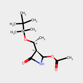 CC(=O)OC1NC(=O)[C@H]1[C@@H](C)O[Si](C)(C)C(C)(C)C